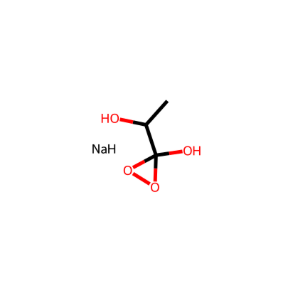 CC(O)C1(O)OO1.[NaH]